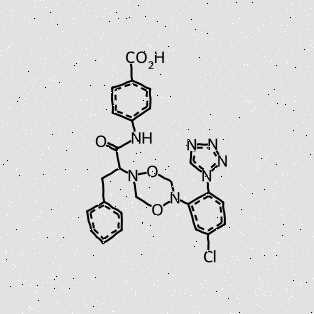 O=C(O)c1ccc(NC(=O)C(Cc2ccccc2)N2CON(c3cc(Cl)ccc3-n3cnnn3)CO2)cc1